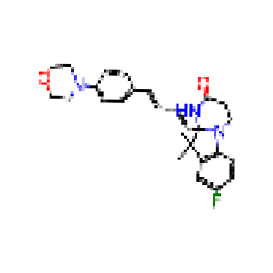 CC1(C)c2cc(F)ccc2N2CCC(=O)NC21C=CC=Cc1ccc(N2CCOCC2)cc1